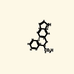 O=C(O)C(Cc1ccc2cc[nH]c2c1)c1ccccc1